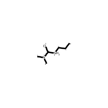 CCC[SiH2]C(Cl)N(C)C